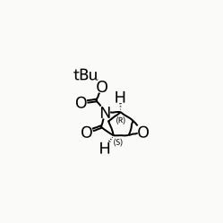 CC(C)(C)OC(=O)N1C(=O)[C@H]2C[C@@H]1C1OC12